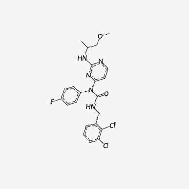 COCC(C)Nc1nccc(N(C(=O)NCc2cccc(Cl)c2Cl)c2ccc(F)cc2)n1